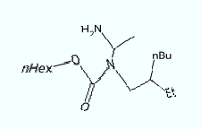 CCCCCCOC(=O)N(CC(CC)CCCC)C(C)N